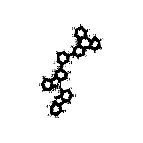 c1cc(-c2ccc3c4ccccc4c4ccccc4c3c2)cc(-c2ccc3c(c2)c2ccccc2n3-c2cccc3c2sc2ccccc23)c1